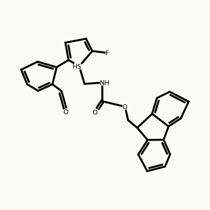 O=Cc1ccccc1C1=CC=C(F)[SH]1CNC(=O)OCC1c2ccccc2-c2ccccc21